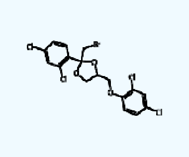 Clc1ccc(OCC2COC(CBr)(c3ccc(Cl)cc3Cl)O2)c(Cl)c1